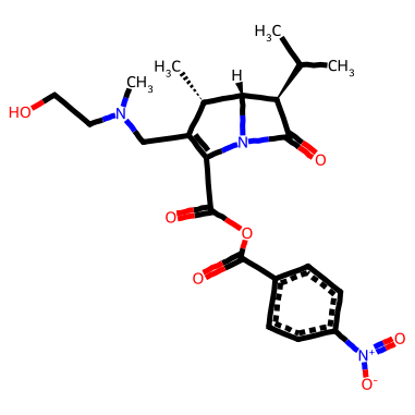 CC(C)[C@H]1C(=O)N2C(C(=O)OC(=O)c3ccc([N+](=O)[O-])cc3)=C(CN(C)CCO)[C@H](C)[C@H]12